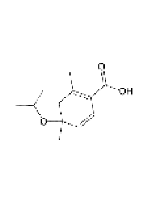 CC1=C(C(=O)O)C=CC(C)(OC(C)C)C1